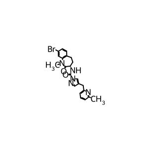 Cc1cccc(Cc2cnn(C(=O)N[C@H]3CCc4ccc(Br)cc4N(C)C3=O)c2)n1